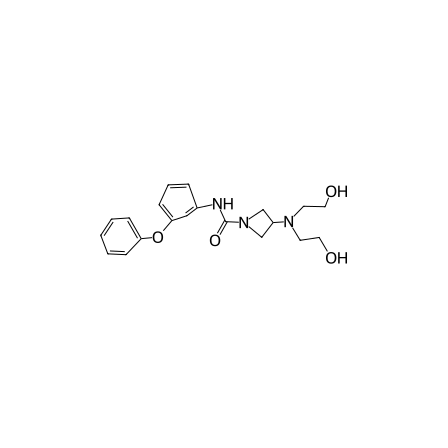 O=C(Nc1cccc(Oc2ccccc2)c1)N1CC(N(CCO)CCO)C1